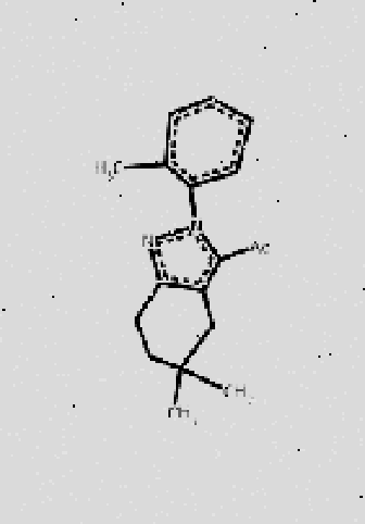 CC(=O)c1c2c(nn1-c1ccccc1C)CCC(C)(C)C2